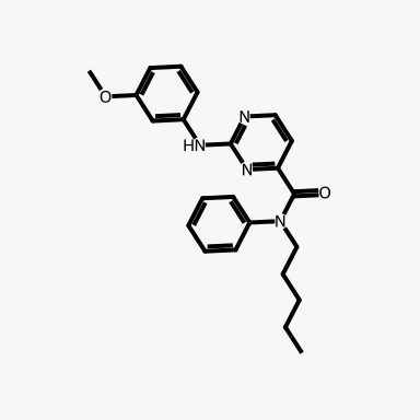 CCCCCN(C(=O)c1ccnc(Nc2cccc(OC)c2)n1)c1ccccc1